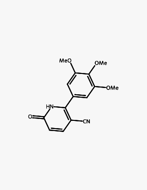 COc1cc(-c2[nH]c(=O)ccc2C#N)cc(OC)c1OC